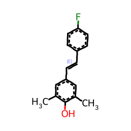 Cc1cc(/C=C/c2ccc(F)cc2)cc(C)c1O